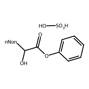 CCCCCCCCCC(O)C(=O)Oc1ccccc1.O=S(=O)(O)O